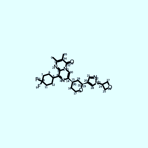 Cc1nc2c(C3CCC(F)(F)CC3)nc([C@@H]3CCO[C@H](c4cnn(C5COC5)c4)C3)cn2c(=O)c1C